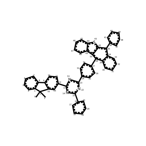 CC1(C)c2ccccc2-c2ccc(-c3nc(-c4ccccc4)nc(-c4ccc(-c5c6ccccc6c(-c6ccccc6)c6sc7ccccc7c56)cc4)n3)cc21